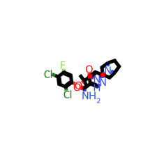 CC(C)(Oc1cc(F)c(Cl)cc1Cl)C(=O)NC1CC2CCC(C1)N2c1ccc(C(N)=O)cn1